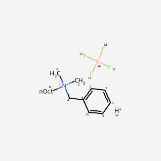 CCCCCCCC[N+](C)(C)Cc1ccccc1.F[B-](F)(F)F.[H+]